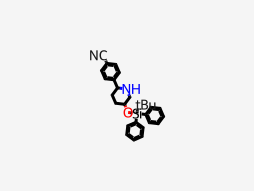 CC(C)(C)[Si](OC1CCC(c2ccc(C#N)cc2)NC1)(c1ccccc1)c1ccccc1